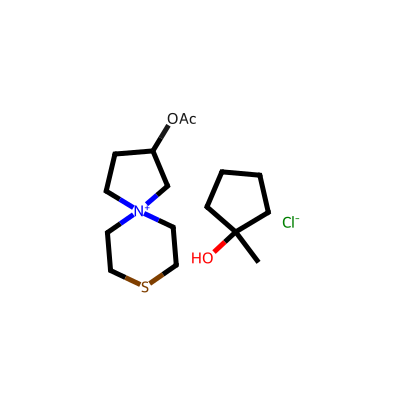 CC(=O)OC1CC[N+]2(CCSCC2)C1.CC1(O)CCCC1.[Cl-]